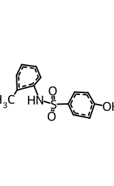 Cc1ccccc1NS(=O)(=O)c1ccc(O)cc1